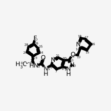 C[C@@H](NC(=O)Nc1cc2[nH]nc(OCc3ccccn3)c2cn1)c1ccc(F)cc1